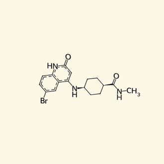 CNC(=O)[C@H]1CC[C@@H](Nc2cc(=O)[nH]c3ccc(Br)cc23)CC1